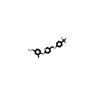 Cc1cc(N)ccc1Oc1ccc(COc2ccc(C(F)(F)F)cc2)cn1